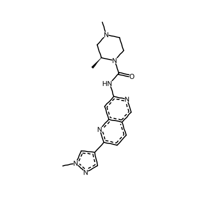 C[C@H]1CN(C)CCN1C(=O)Nc1cc2nc(-c3cnn(C)c3)ccc2cn1